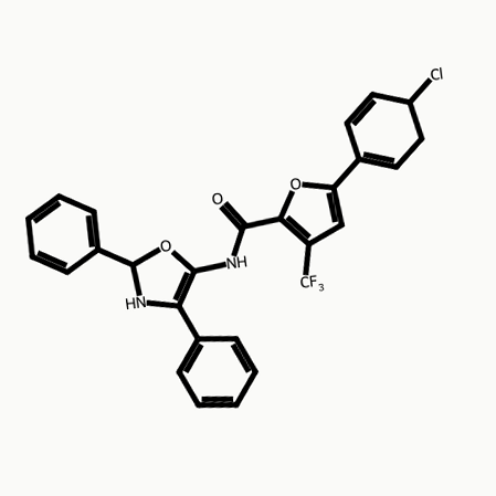 O=C(NC1=C(c2ccccc2)NC(c2ccccc2)O1)c1oc(C2=CCC(Cl)C=C2)cc1C(F)(F)F